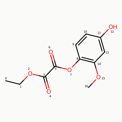 CCOC(=O)C(=O)Oc1ccc(O)cc1OC